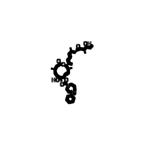 CC[C@H](O)[C@@H](C)[C@H]1O[C@@H]1C[C@H](C)/C=C/C=C(\C)[C@H]1OC(=O)C[C@H](C)CC[C@@](C)(O)[C@@H](OC(=O)N2CCC[N+](C)(C3CCCCC3)CC2)/C=C/[C@@H]1C